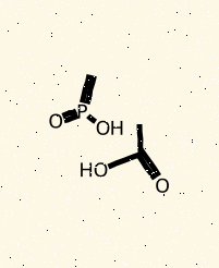 C=P(=O)O.CC(=O)O